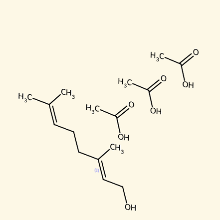 CC(=O)O.CC(=O)O.CC(=O)O.CC(C)=CCC/C(C)=C/CO